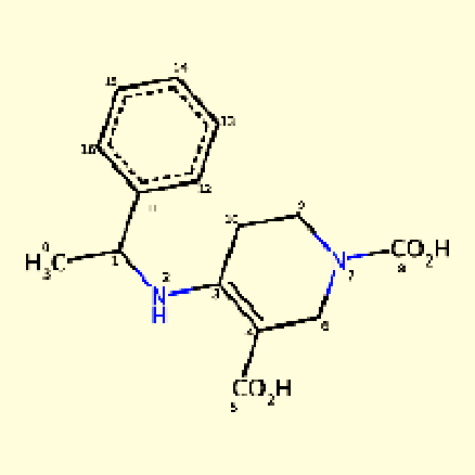 CC(NC1=C(C(=O)O)CN(C(=O)O)CC1)c1ccccc1